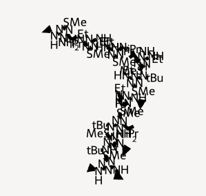 CCNC1N=C(SC)N=C(C(C)C(C)C)N1N.CCNc1nc(NC(C)(C)C)nc(SC)n1.CCNc1nc(NC(C)C)nc(SC)n1.CCNc1nc(NC2CC2)nc(SC)n1.CCNc1nc(NCC)nc(SC)n1.CSC1=NC(C(C)C(C)C)N(N)C(NC(C)(C)C)=N1.CSC1=NC(C(C)C(C)C)N(N)C(NC2CC2)=N1.CSc1nc(NC2CC2)nc(NC(C)(C)C)n1.CSc1nc(NC2CC2)nc(NC2CC2)n1